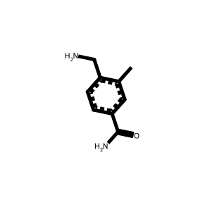 Cc1cc(C(N)=O)ccc1CN